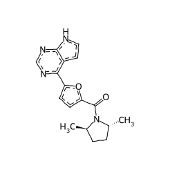 C[C@@H]1CC[C@@H](C)N1C(=O)c1ccc(-c2ncnc3[nH]ccc23)o1